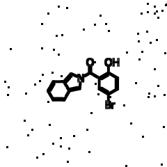 O=C(c1cc(Br)ccc1O)n1cc2ccccc2c1